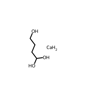 OCCCC(O)O.[CaH2]